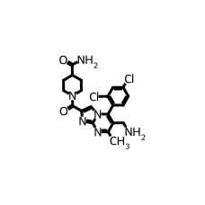 Cc1nc2nc(C(=O)N3CCC(C(N)=O)CC3)cn2c(-c2ccc(Cl)cc2Cl)c1CN